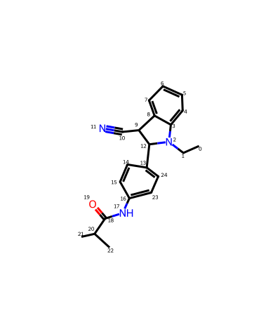 CCN1c2ccccc2C(C#N)C1c1ccc(NC(=O)C(C)C)cc1